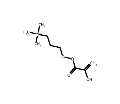 C=C(O)C(=O)OOCCC[N+](C)(C)C